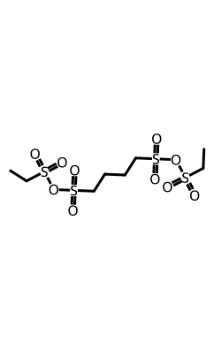 CCS(=O)(=O)OS(=O)(=O)CCCCS(=O)(=O)OS(=O)(=O)CC